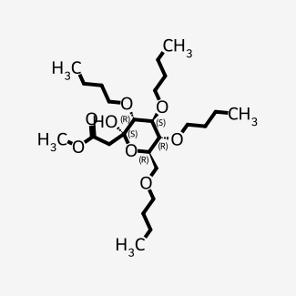 CCCCOC[C@H]1O[C@@](O)(CC(=O)OC)[C@H](OCCCC)[C@@H](OCCCC)[C@@H]1OCCCC